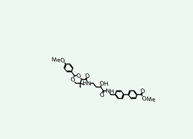 COC(=O)c1ccc(-c2ccc(CNC(=O)C(O)CCNC(=O)C3OC(c4ccc(OC)cc4)OCC3(C)C)cc2)cc1